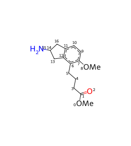 COC(=O)CCCc1c(OC)ccc2c1CC(N)C2